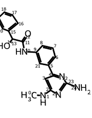 CNc1cc(-c2cccc(NC(=O)C(O)c3ccccc3)c2)nc(N)n1